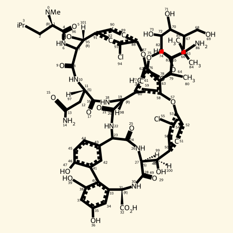 CN[C@H](CC(C)C)C(=O)NC1C(=O)N[C@@H](CC(N)=O)C(=O)N[C@H]2C(=O)NC3C(=O)N[C@H](C(=O)N[C@@H](C(=O)O)c4cc(O)cc(O)c4-c4cc3ccc4O)[C@H](O)c3ccc(c(Cl)c3)Oc3cc2cc(c3OC2OC(CO)C(O)C(O)C2O[C@H](C)OC(C)C(O)C(C)(C)N)Oc2ccc(cc2Cl)[C@H]1O